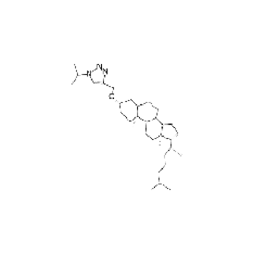 CC(C)CCC[C@@H](C)[C@H]1CCC2C3CCC4C[C@@H](OCc5cn(C(C)C)nn5)CC[C@]4(C)C3CC[C@@]21C